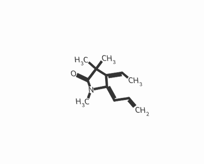 C=C/C=C1\C(=C/C)C(C)(C)C(=O)N1C